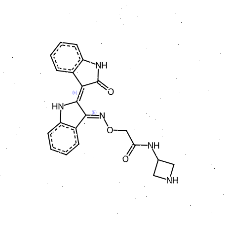 O=C(CO/N=C1/C(=C2\C(=O)Nc3ccccc32)Nc2ccccc21)NC1CNC1